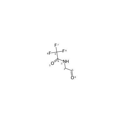 O=[C]CNC(=O)C(F)(F)F